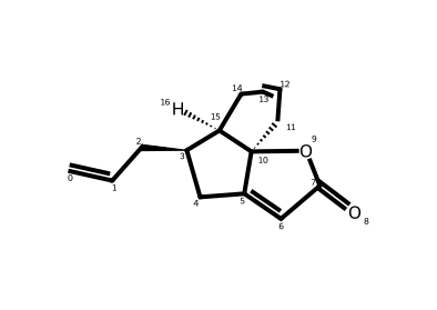 C=CC[C@@H]1CC2=CC(=O)O[C@@]23CC=CC[C@H]13